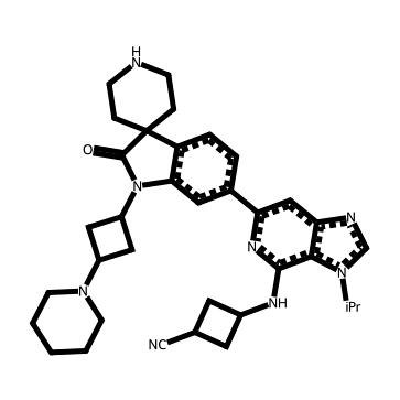 CC(C)n1cnc2cc(-c3ccc4c(c3)N(C3CC(N5CCCCC5)C3)C(=O)C43CCNCC3)nc(NC3CC(C#N)C3)c21